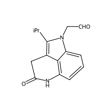 CC(C)c1c2c3c(cccc3n1CC=O)NC(=O)C2